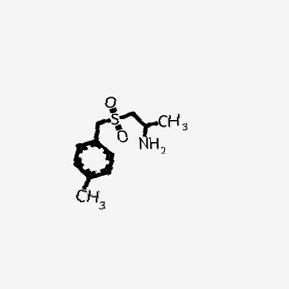 Cc1ccc(CS(=O)(=O)CC(C)N)cc1